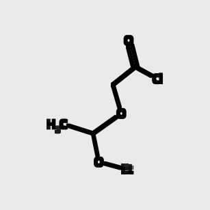 CCOC(C)OCC(=O)Cl